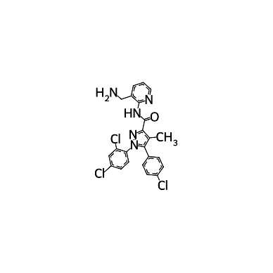 Cc1c(C(=O)Nc2ncccc2CN)nn(-c2ccc(Cl)cc2Cl)c1-c1ccc(Cl)cc1